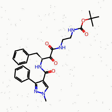 Cn1cc(C(=O)N[C@@H](Cc2ccccc2)C(=O)C(=O)NCCNC(=O)OC(C)(C)C)c(-c2ccccc2)n1